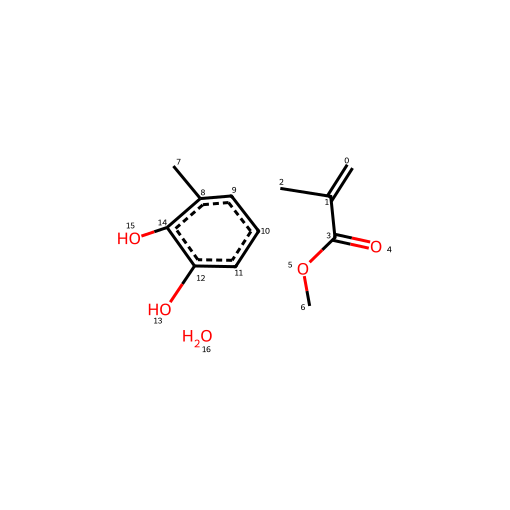 C=C(C)C(=O)OC.Cc1cccc(O)c1O.O